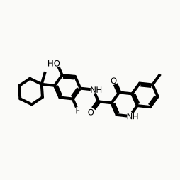 Cc1ccc2[nH]cc(C(=O)Nc3cc(O)c(C4(C)CCCCC4)cc3F)c(=O)c2c1